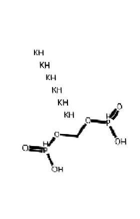 O=[PH](O)OCO[PH](=O)O.[KH].[KH].[KH].[KH].[KH].[KH]